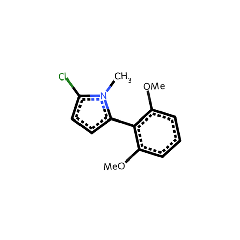 COc1cccc(OC)c1-c1ccc(Cl)n1C